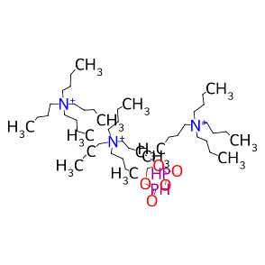 CCCC[N+](CCCC)(CCCC)CCCC.CCCC[N+](CCCC)(CCCC)CCCC.CCCC[N+](CCCC)(CCCC)CCCC.O=[PH]1OCO[PH](=O)O1